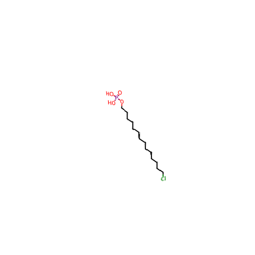 O=P(O)(O)OCCCCCCCCCCCCCCCl